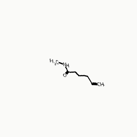 [CH]=CCCCC(=O)NC